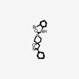 O=C(Nc1ccccc1Br)N1CCC2(CC1)CC(c1ccccc1)=NO2